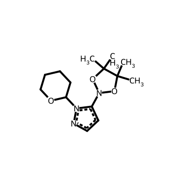 CC1(C)ON(c2ccnn2C2CCCCO2)OC1(C)C